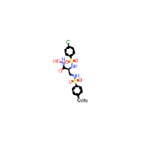 COc1ccc(S(=O)(=O)NCC(NS(=O)(=O)c2ccc(Cl)cc2)C(=O)NO)cc1